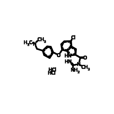 CN(C)Cc1ccc(Oc2ccc(Cl)c3cc(C(=O)N(C)C(=N)N)[nH]c23)cc1.Cl.Cl